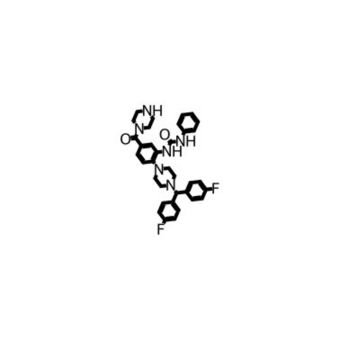 O=C(Nc1ccccc1)Nc1cc(C(=O)N2CCNCC2)ccc1N1CCN(C(c2ccc(F)cc2)c2ccc(F)cc2)CC1